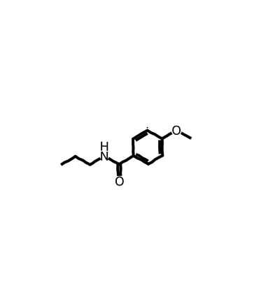 CCCNC(=O)c1c[c]c(OC)cc1